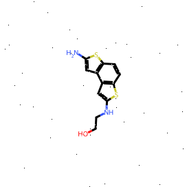 Nc1cc2c(ccc3sc(NCCO)cc32)s1